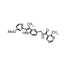 COc1ccnc(-c2[nH]c3ccc(CNC(=O)c4cncnc4C)cc3c2C)c1